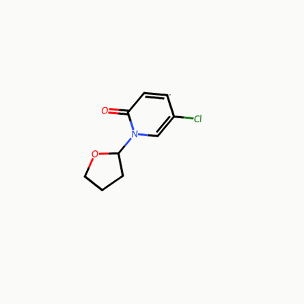 O=c1c[c]c(Cl)cn1C1CCCO1